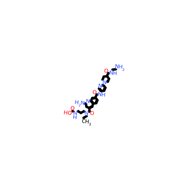 CCCN(CCCNC(=O)O)C(=O)C1=Cc2ccc(C(=O)Nc3ccc(N4CCC(C(=O)NCCN)CC4)nc3)cc2N=C(N)C1